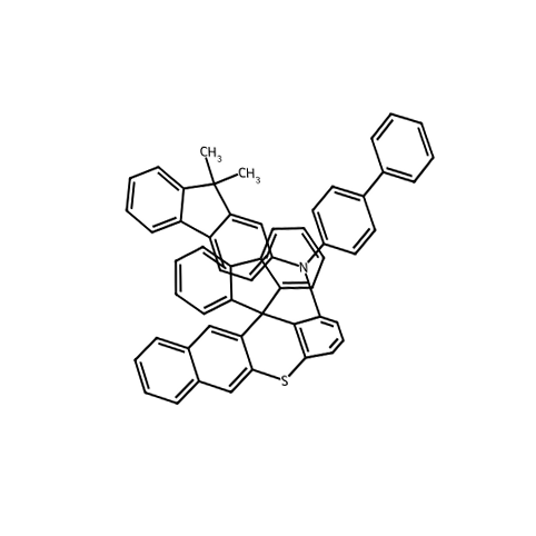 CC1(C)c2ccccc2-c2ccc(N(c3ccc(-c4ccccc4)cc3)c3cccc4c3C3(c5cc6ccccc6cc5S4)c4ccccc4-c4ccccc43)cc21